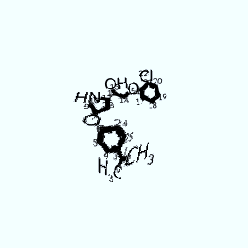 CC(C)c1ccc(OC2CN[C@H](C(O)COc3ccccc3Cl)C2)cc1